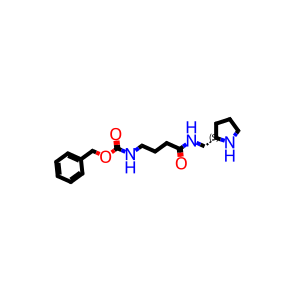 O=C(CCCNC(=O)OCc1ccccc1)NC[C@@H]1CCCN1